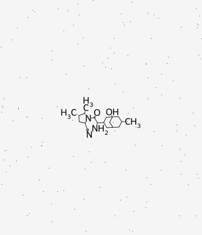 CC1CC2CC(C(N)C(=O)N3C(C#N)C[C@H](C)C3C)CC(O)(C1)C2